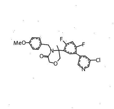 COc1ccc(CN2C(=O)COCC2(C)c2cc(-c3cncc(Cl)c3)c(F)cc2F)cc1